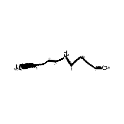 N#CCCNCCC=O